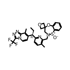 CC[C@@H](c1ccc(C)c(CN2CC3(COC3)Oc3ccccc3[S+]2[O-])n1)c1ccn2c(C(F)(F)F)nnc2c1C